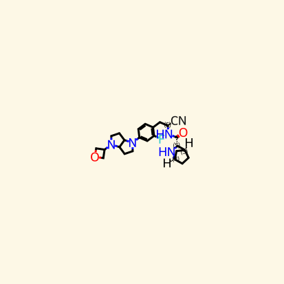 N#C[C@H](Cc1ccc(N2CCC3C2CCN3C2COC2)cc1F)NC(=O)[C@H]1N[C@@H]2CC[C@H]1C2